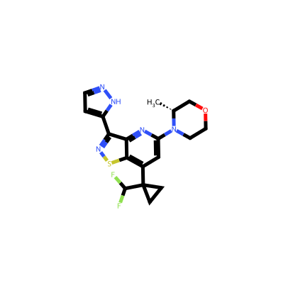 C[C@@H]1COCCN1c1cc(C2(C(F)F)CC2)c2snc(-c3ccn[nH]3)c2n1